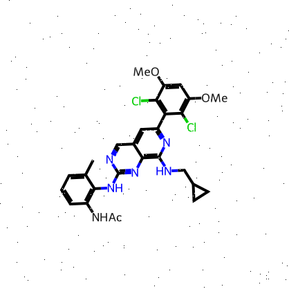 COc1cc(OC)c(Cl)c(-c2cc3cnc(Nc4c(C)cccc4NC(C)=O)nc3c(NCC3CC3)n2)c1Cl